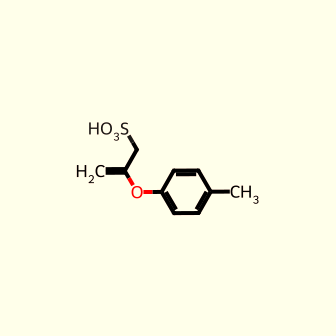 C=C(CS(=O)(=O)O)Oc1ccc(C)cc1